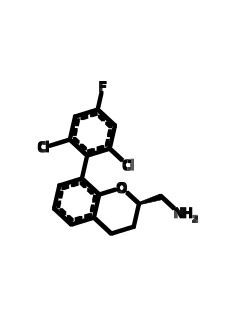 NC[C@H]1CCc2cccc(-c3c(Cl)cc(F)cc3Cl)c2O1